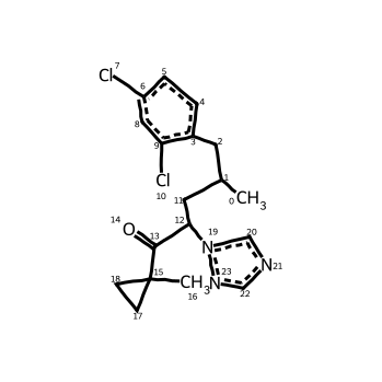 CC(Cc1ccc(Cl)cc1Cl)CC(C(=O)C1(C)CC1)n1cncn1